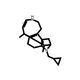 CC1C2CC3=C(CCC4=C3CCN/C=C\C41C)N2CC1CC1